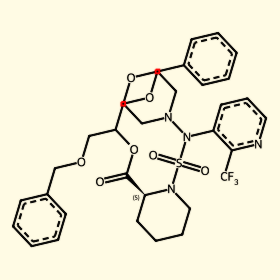 O=C(OC(COCc1ccccc1)COCc1ccccc1)[C@@H]1CCCCN1S(=O)(=O)N(c1cccnc1C(F)(F)F)N1CCOCC1